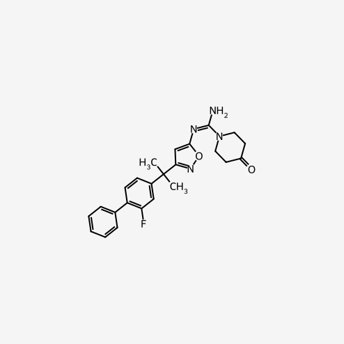 CC(C)(c1ccc(-c2ccccc2)c(F)c1)c1cc(/N=C(/N)N2CCC(=O)CC2)on1